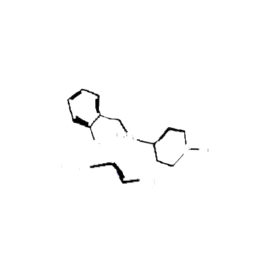 CCN1CCC(NCc2ccccc2C(F)(F)F)CC1.O=C(O)/C=C/C(=O)O